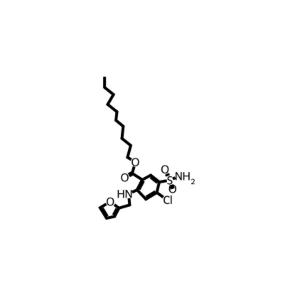 CCCCCCCCCCOC(=O)c1cc(S(N)(=O)=O)c(Cl)cc1NCc1ccco1